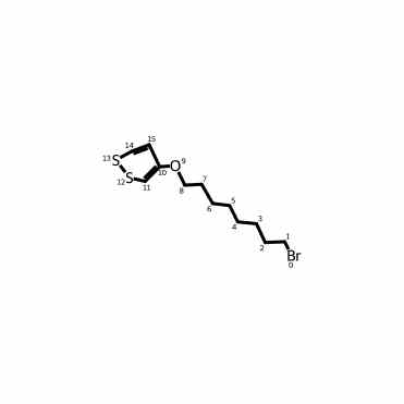 BrCCCCCCCCOC1=CSSC=[C]1